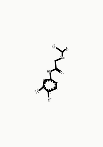 CCC(NCC(=O)Nc1ccc(C#N)c(C(F)(F)F)c1)C(F)(F)F